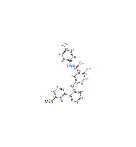 CNc1nccc(-c2cccnc2Oc2ccc(F)c(C(=O)Nc3ccc(C(C)C)cc3)c2)n1